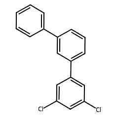 Clc1cc(Cl)cc(-c2cccc(-c3ccccc3)c2)c1